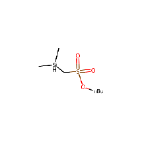 CCCCOS(=O)(=O)C[SiH](C)C